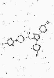 COc1ccc(-c2cn(-c3ccc(F)cc3)c(CC(=O)N3CCN(c4ncc(F)cn4)CC3)n2)cc1